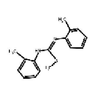 CS/C(=N\c1ccccc1C)Nc1ccccc1C